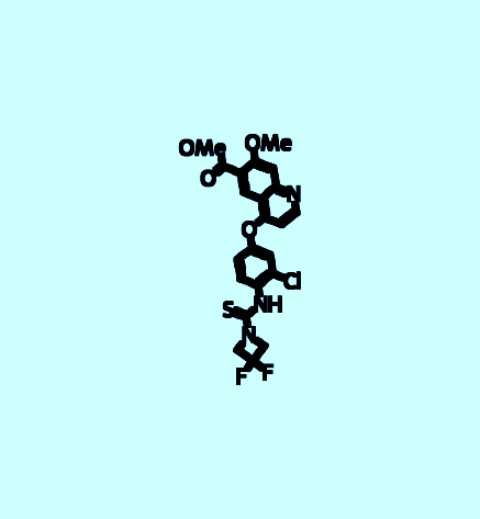 COC(=O)c1cc2c(Oc3ccc(NC(=S)N4CC(F)(F)C4)c(Cl)c3)ccnc2cc1OC